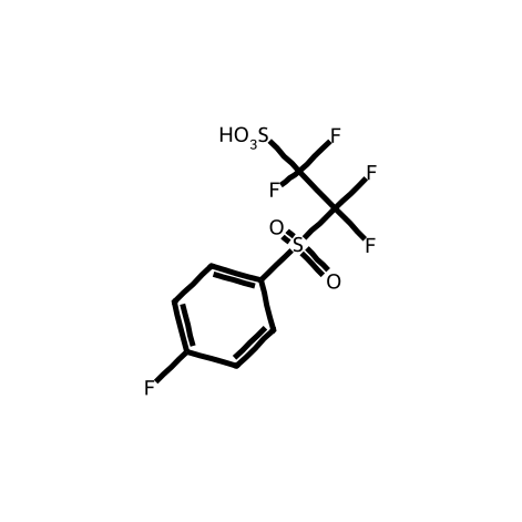 O=S(=O)(O)C(F)(F)C(F)(F)S(=O)(=O)c1ccc(F)cc1